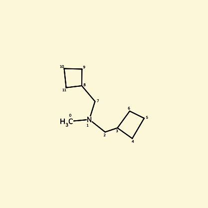 CN(CC1CCC1)CC1CCC1